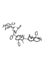 COc1cc(C(=O)N2C[C@H](F)C[C@@H](NC(=O)O)C2)cn2nc(-c3cc4ccnc(Cl)c4n3C)c(C)c12